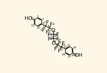 Oc1ccc(C(F)(F)C(F)(F)OC(F)(F)C(F)(F)OC(F)(F)C(F)(F)c2ccc(O)cc2)cc1